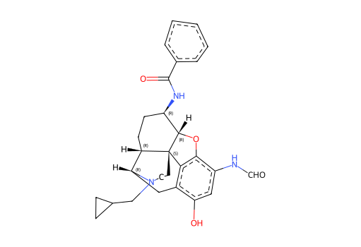 O=CNc1cc(O)c2c3c1O[C@H]1[C@H](NC(=O)c4ccccc4)CC[C@H]4[C@@H](C2)N(CC2CC2)CC[C@@]341